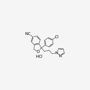 Cl.N#Cc1ccc2c(c1)COC2(CCCn1cccn1)c1ccc(Cl)cc1